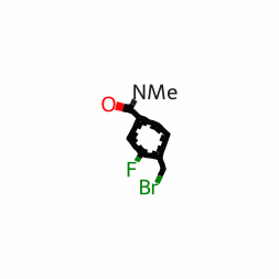 CNC(=O)c1ccc(CBr)c(F)c1